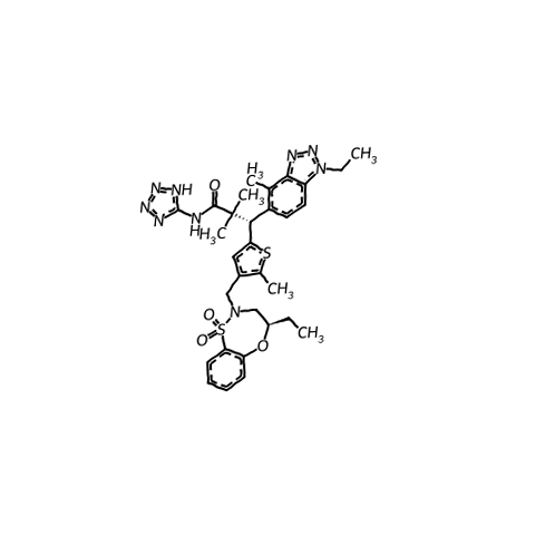 CC[C@@H]1CN(Cc2cc([C@@H](c3ccc4c(nnn4CC)c3C)C(C)(C)C(=O)Nc3nnn[nH]3)sc2C)S(=O)(=O)c2ccccc2O1